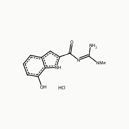 CNC(N)=NC(=O)c1cc2cccc(O)c2[nH]1.Cl